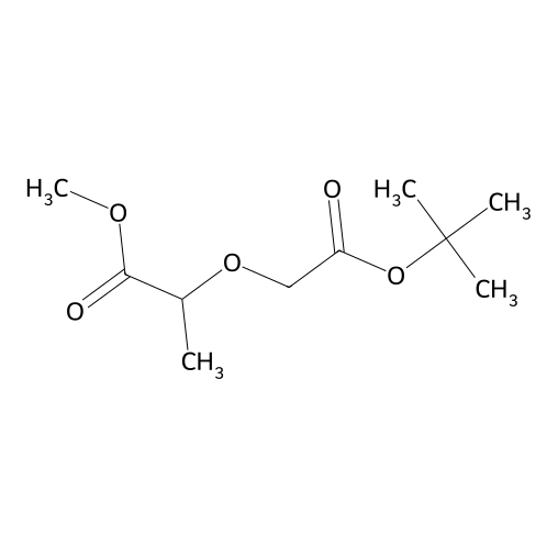 COC(=O)C(C)OCC(=O)OC(C)(C)C